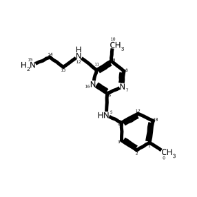 Cc1ccc(Nc2ncc(C)c(NCCN)n2)cc1